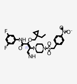 CCC1(CO/C(C(=O)Nc2cc(F)cc(F)c2)=C(/C=N)N2CCN(S(=O)(=O)Cc3ccc([N+](=O)[O-])cc3)CC2)CC1